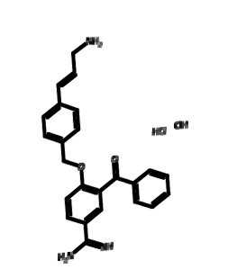 Cl.Cl.N=C(N)c1ccc(OCc2ccc(C=CCN)cc2)c(C(=O)c2ccccc2)c1